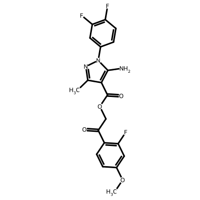 COc1ccc(C(=O)COC(=O)c2c(C)nn(-c3ccc(F)c(F)c3)c2N)c(F)c1